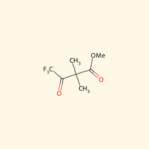 COC(=O)C(C)(C)C(=O)C(F)(F)F